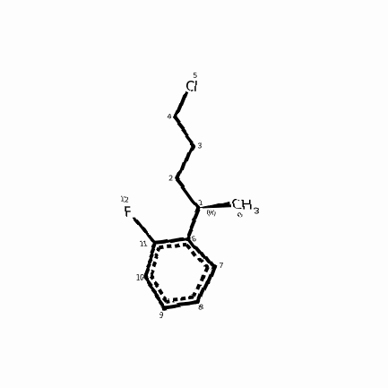 C[C@H](CCCCl)c1ccccc1F